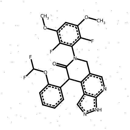 COc1cc(OC)c(F)c(N2Cc3cnc4[nH]ncc4c3C(c3ccccc3OC(F)F)C2=O)c1F